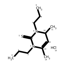 CCCN1C(=S)N(CCC)C(C)C=C1C.Cl